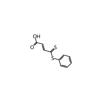 O=C(O)C=CC(=S)Sc1ccccc1